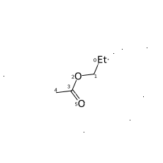 C[CH]COC(C)=O